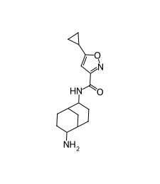 NC1CCC2CC1CCC2NC(=O)c1cc(C2CC2)on1